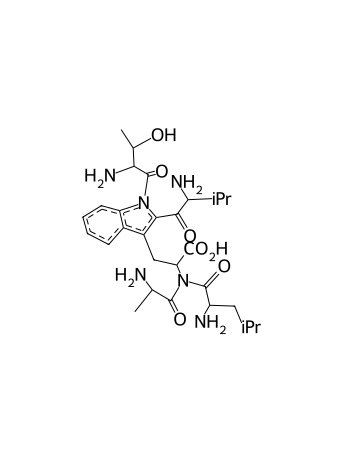 CC(C)CC(N)C(=O)N(C(=O)C(C)N)C(Cc1c(C(=O)C(N)C(C)C)n(C(=O)C(N)C(C)O)c2ccccc12)C(=O)O